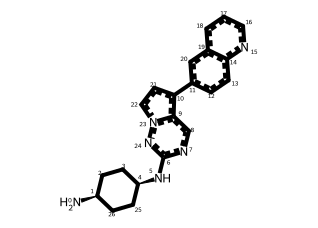 N[C@H]1CC[C@@H](Nc2ncc3c(-c4ccc5ncccc5c4)ccn3n2)CC1